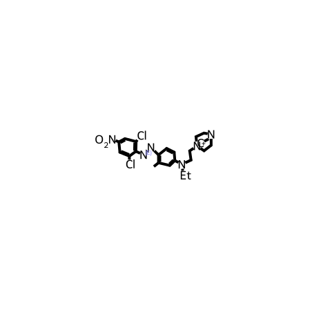 CCN(CC[N+]12CCN(CC1)CC2)c1ccc(/N=N/c2c(Cl)cc([N+](=O)[O-])cc2Cl)c(C)c1